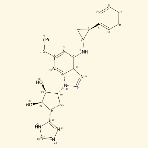 CCCSc1nc(N[C@@H]2C[C@H]2c2ccccc2)c2ncn([C@@H]3C[C@H](c4nnn[nH]4)[C@@H](O)[C@H]3O)c2n1